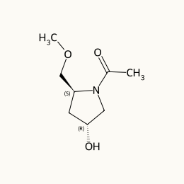 COC[C@@H]1C[C@@H](O)CN1C(C)=O